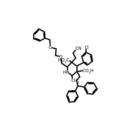 CC1NC(COCCOCc2ccccc2)C(CCC#N)(C(=O)O)C(c2cccc(Cl)c2)C1(CCC(c1ccccc1)c1ccccc1)C(=O)O